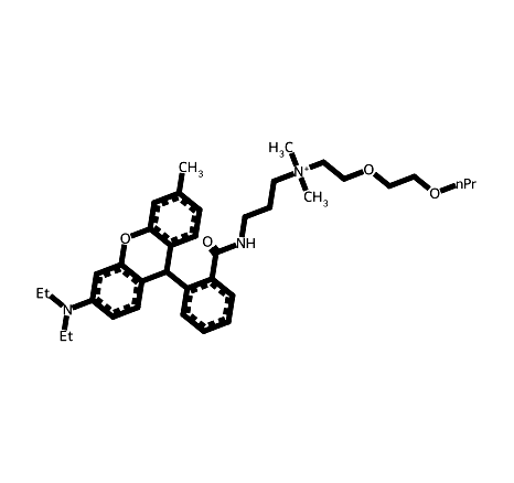 CCCOCCOCC[N+](C)(C)CCCNC(=O)c1ccccc1C1c2ccc(C)cc2Oc2cc(N(CC)CC)ccc21